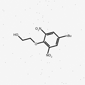 CCCCc1cc([N+](=O)[O-])c(OCCO)c([N+](=O)[O-])c1